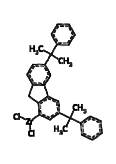 CC(C)(c1ccccc1)c1ccc2c(c1)-c1cc(C(C)(C)c3ccccc3)c[c]([Zr]([Cl])[Cl])c1C2